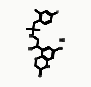 Cc1cc(F)ccc1CC(C)(C)NCC(O)c1cc(O)cc2c1OCC(=O)N2.Cl